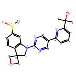 CC[S@+]([O-])c1ccc2c(c1)N(c1ncc(-c3cccc(C(C)(C)O)n3)cn1)CC21COC1